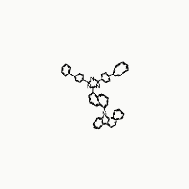 c1ccc(-c2ccc(-c3nc(-c4ccc(-c5ccccc5)cc4)nc(-c4cccc5c(-n6c7ccccc7c7ccc8ccccc8c76)cccc45)n3)cc2)cc1